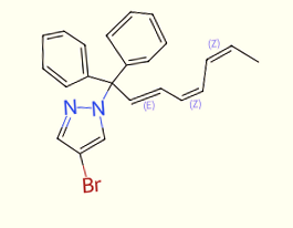 C\C=C/C=C\C=C\C(c1ccccc1)(c1ccccc1)n1cc(Br)cn1